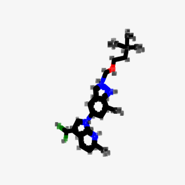 Cc1cc(-n2cc(C(F)F)c3ccc(C(F)(F)F)nc32)cc2cn(COCC[Si](C)(C)C)nc12